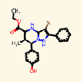 CCOC(=O)C1NC2C(Br)=C(c3ccccc3)NN2C(c2ccc(O)cc2)C1C